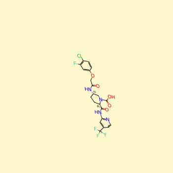 O=C(COc1ccc(Cl)c(F)c1)N[C@H]1CC[C@H](C(=O)Nc2cc(C(F)(F)F)ccn2)N(C(=O)O)C1